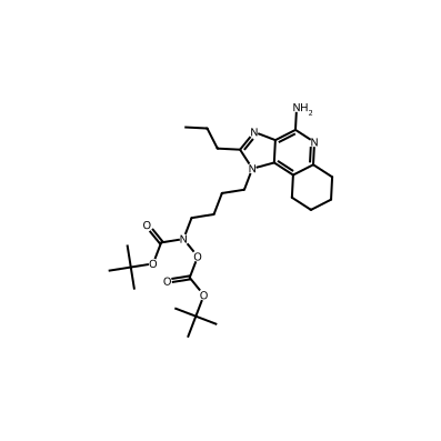 CCCc1nc2c(N)nc3c(c2n1CCCCN(OC(=O)OC(C)(C)C)C(=O)OC(C)(C)C)CCCC3